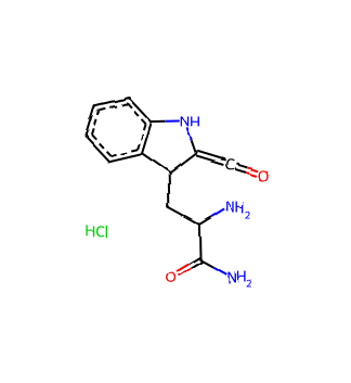 Cl.NC(=O)C(N)CC1C(=C=O)Nc2ccccc21